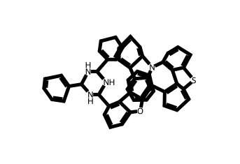 C1=CC(C2NC(c3ccccc3)NC(c3cccc4oc5c(-c6cccc7sc8cccc(-n9c%10ccccc%10c%10ccccc%109)c8c67)cccc5c34)N2)=CCC1